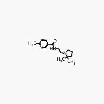 Cc1ccc(C(=O)NCCN2CCCC2(C)C)cn1